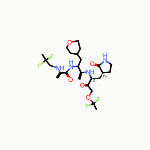 C=C(NCC(C)(F)F)C(=O)NC(CC1CCOCC1)C(=C)N[C@@H](C[C@@H]1CCNC1=O)C(=O)COC(C)(F)F